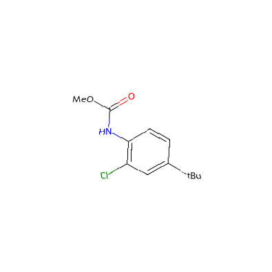 COC(=O)Nc1ccc(C(C)(C)C)cc1Cl